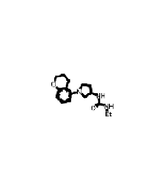 CCNC(=O)NC1CCN(c2cccc3c2CCCO3)C1